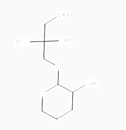 CC1CCCSC1OCC(C)(C)CO